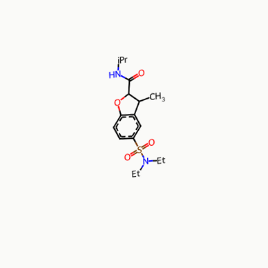 CCN(CC)S(=O)(=O)c1ccc2c(c1)C(C)C(C(=O)NC(C)C)O2